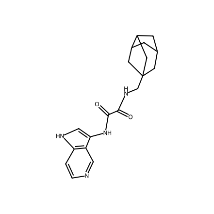 O=C(NCC12CC3CC(C1)C(C3)C2)C(=O)Nc1c[nH]c2ccncc12